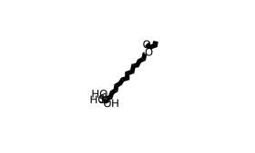 C=CC(=O)OCCCCCCCCCCCCCC[Si](O)(O)O